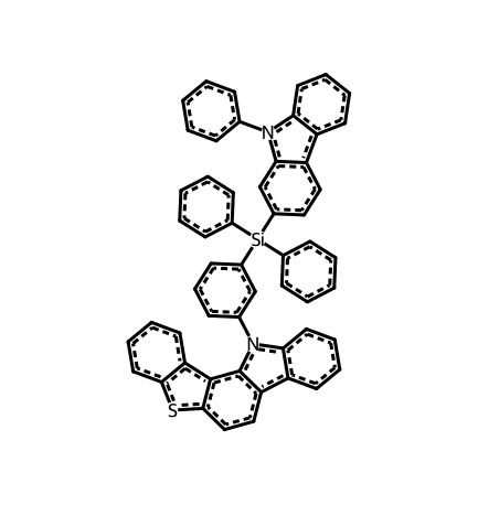 c1ccc(-n2c3ccccc3c3ccc([Si](c4ccccc4)(c4ccccc4)c4cccc(-n5c6ccccc6c6ccc7sc8ccccc8c7c65)c4)cc32)cc1